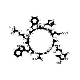 CCCC[C@@H]1NC(=O)N(CC(=O)N[C@H]2CSSC[C@@H](C(N)=O)NC(=O)C(Cc3c[nH]c4ccccc34)NC(=O)[C@H](CCCNC(=N)N)NC(=O)[C@@H](Cc3ccccc3)NC(=O)[C@H](CC3CN=CN3)NC(=O)C(CCC(=O)O)NC2=O)C1=O